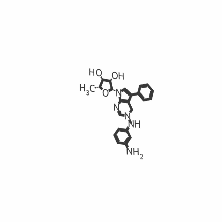 C[C@H]1O[C@@H](n2cc(-c3ccccc3)c3c2N=CN(Nc2cccc(N)c2)C3)[C@H](O)[C@@H]1O